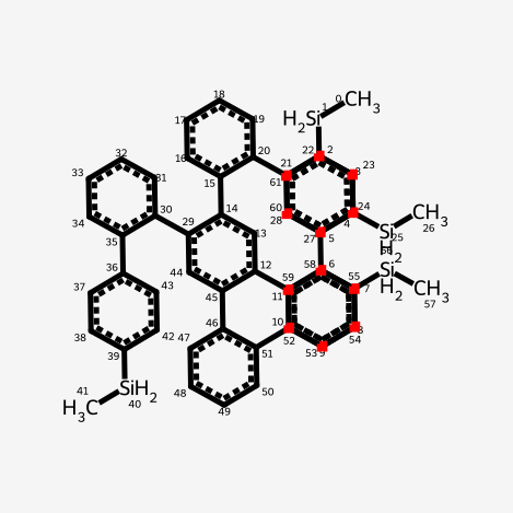 C[SiH2]c1ccc(-c2ccccc2-c2cc(-c3ccccc3-c3ccc([SiH2]C)cc3)c(-c3ccccc3-c3ccc([SiH2]C)cc3)cc2-c2ccccc2-c2ccc([SiH2]C)cc2)cc1